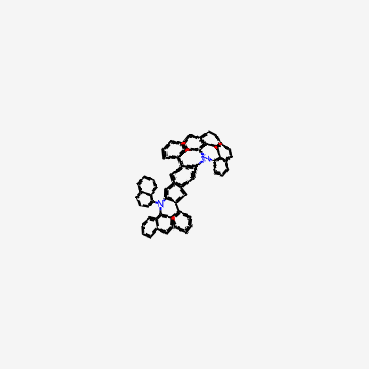 c1ccc(-c2cc3cc(N(c4cccc5ccccc45)c4cccc5ccccc45)c(-c4ccccc4)cc3cc2N(c2cccc3ccccc23)c2cccc3ccccc23)cc1